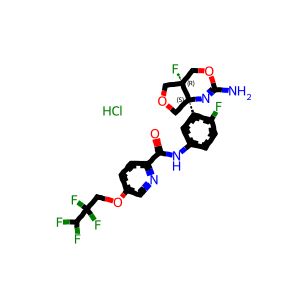 Cl.NC1=N[C@@]2(c3cc(NC(=O)c4ccc(OCC(F)(F)C(F)F)cn4)ccc3F)COC[C@@]2(F)CO1